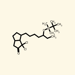 CCC(CCCCC1CCC2CC(=O)C(Cl)(Cl)C12)O[Si](C)(C)C(C)(C)C